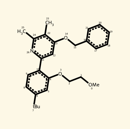 COCCOc1cc(C(C)(C)C)ccc1-c1cc(OCc2ccccc2)c(C)c(C)n1